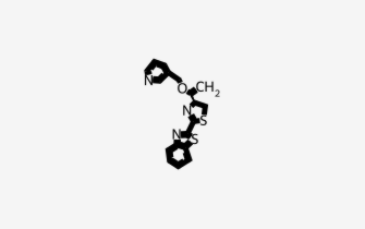 C=C(OCc1cccnc1)[C@H]1CSC(c2nc3ccccc3s2)=N1